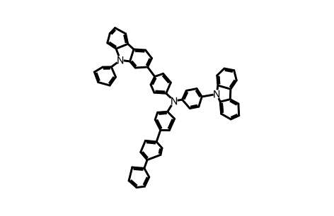 c1ccc(-c2ccc(-c3ccc(N(c4ccc(-c5ccc6c7ccccc7n(-c7ccccc7)c6c5)cc4)c4ccc(-n5c6ccccc6c6ccccc65)cc4)cc3)cc2)cc1